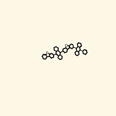 c1ccc(-c2c3ccccc3c(-c3ccc4oc5cc(-c6c7ccccc7c(-c7ccc8c(c7)oc7ccccc78)c7ccccc67)ccc5c4c3)c3ccccc23)cc1